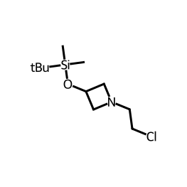 CC(C)(C)[Si](C)(C)OC1CN(CCCl)C1